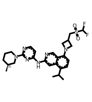 CC(C)c1ccc(N2CC(CS(=O)(=O)C(F)F)C2)c2cnc(Nc3ccnc(N4CCC[C@H](C)C4)n3)cc12